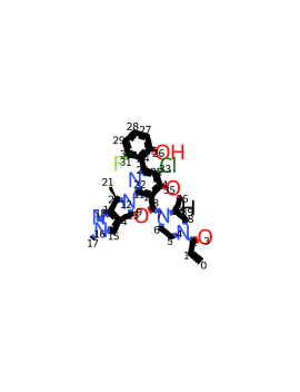 C=CC(=O)N1CCN2C(=O)c3c(N4Cc5cn(C)nc5[C@H]4C)nc(-c4c(O)cccc4F)c(Cl)c3OC[C@H]2C1